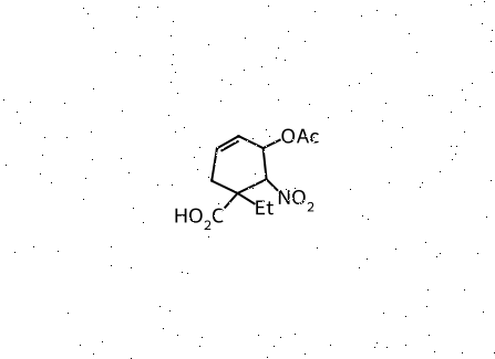 CCC1(C(=O)O)CC=CC(OC(C)=O)C1[N+](=O)[O-]